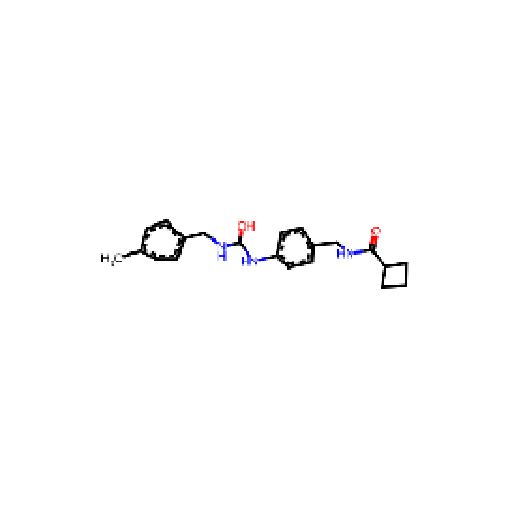 Cc1ccc(CNC(O)Nc2ccc(CNC(=O)C3CCC3)cc2)cc1